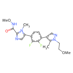 COCCn1ncc(-c2ccc(-c3cnc(C(=O)NOC)n3C)c(F)c2F)c1C